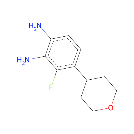 Nc1ccc(C2CCOCC2)c(F)c1N